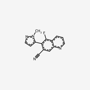 Cn1nccc1-c1c(C#N)cc2ncccc2c1F